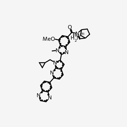 COc1cc(C(=O)N2CC3CCC2[C@@H]3N)cc2nc(-c3cc4ccc(-c5ccc6nccnc6c5)nc4n3CC3CC3)n(C)c12